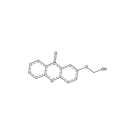 O=c1c2ccccc2oc2ccc(OCO)cc12